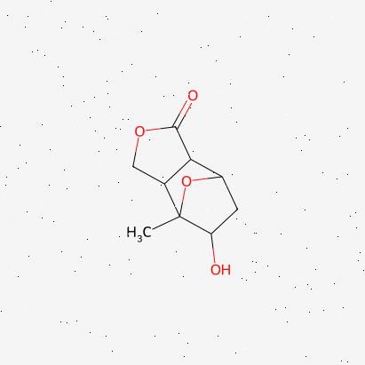 CC12OC(CC1O)C1C(=O)OCC12